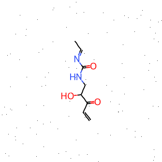 C=CC(=O)C(O)CNC(=O)N=CC